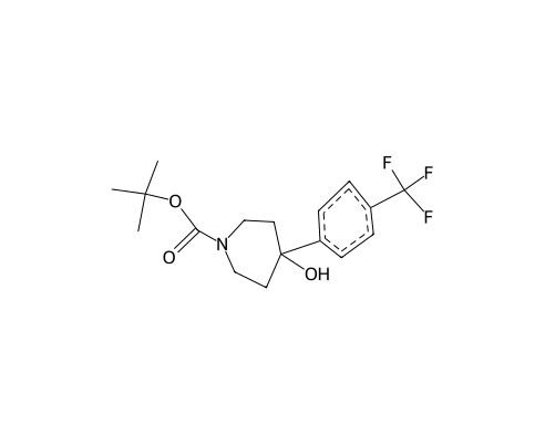 CC(C)(C)OC(=O)N1CCC(O)(c2ccc(C(F)(F)F)cc2)CC1